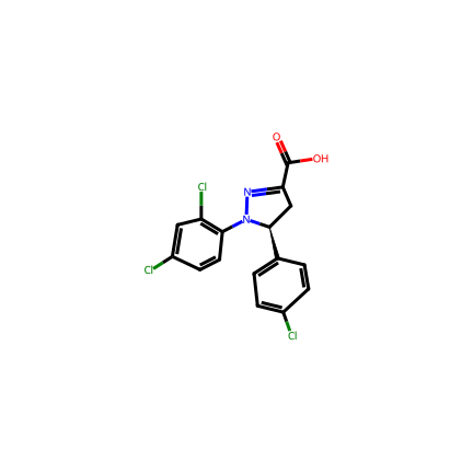 O=C(O)C1=NN(c2ccc(Cl)cc2Cl)[C@H](c2ccc(Cl)cc2)C1